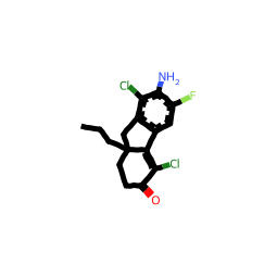 CCCC12CCC(=O)C(Cl)=C1c1cc(F)c(N)c(Cl)c1C2